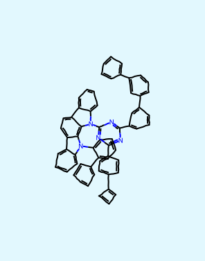 C1=CC(c2ccc(-c3nc(-c4cccc(-c5cccc(-c6ccccc6)c5)c4)nc(-n4c5ccccc5c5ccc6c7ccccc7n(-c7ccccc7-c7ccccc7)c6c54)n3)cc2)=C1